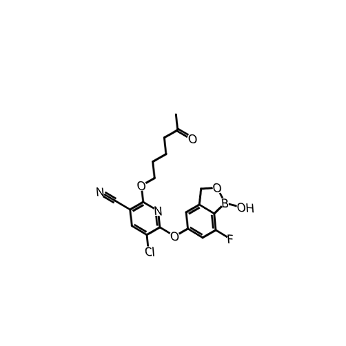 CC(=O)CCCCOc1nc(Oc2cc(F)c3c(c2)COB3O)c(Cl)cc1C#N